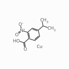 CC(C)c1ccc(C(=O)O)c([N+](=O)[O-])c1.[Cu]